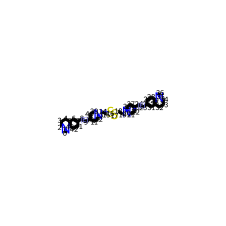 CN1CCCc2cc(/C=C/c3cc[n+](CCSSCC[n+]4ccc(/C=C/c5ccc6c(c5)CCCN6C)cc4)cc3)ccc21